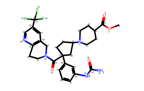 COC(=O)C1CCN(C2CCC(C(=O)N3CCc4ncc(C(F)(F)F)cc4C3)(c3cccc(NC(N)=O)c3)C2)CC1